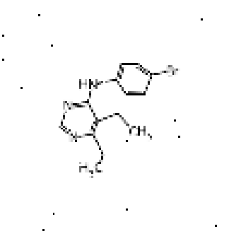 CCc1ncnc(Nc2ccc(Br)cc2)c1CC